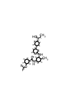 CCN(O)c1ccc(-c2ccnc(Nc3cc(NC(=O)c4cccc(OC(F)F)c4)ccc3C)n2)cn1